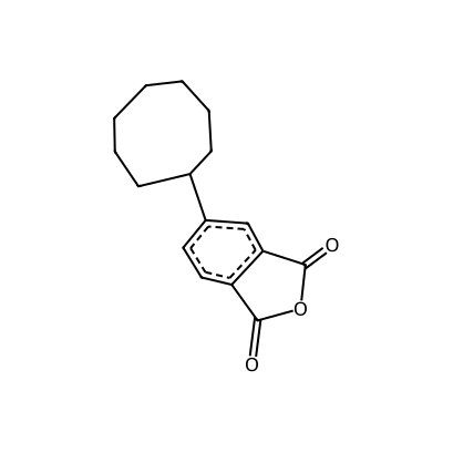 O=C1OC(=O)c2cc(C3CCCCCCC3)ccc21